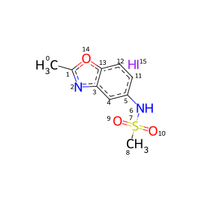 Cc1nc2cc(NS(C)(=O)=O)ccc2o1.I